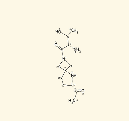 C[C@@H](O)[C@H](N)C(=O)N1CC2(C1)N[C@H](C(N)=O)CS2